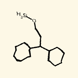 [SiH3]OCCC(C1CCCCC1)C1CCCCC1